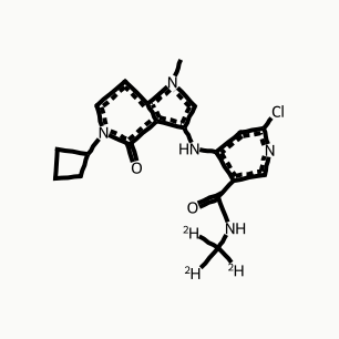 [2H]C([2H])([2H])NC(=O)c1cnc(Cl)cc1Nc1cn(C)c2ccn(C3CCC3)c(=O)c12